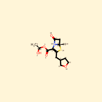 C[C@H](O)OC(=O)C1=C(CC2CCOC2)S[C@H]2CC(=O)N12